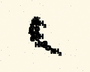 CC(C)(CN=[N+]=[N-])COCC(C)(C)CNC(=O)[C@H](CCCCNC(=O)Cc1ccc(CN)cc1)NC(=O)Cc1ccc(CN)cc1